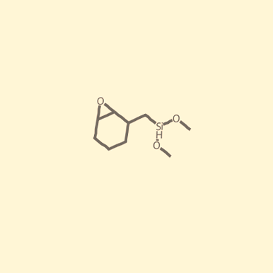 CO[SiH](CC1CCCC2OC12)OC